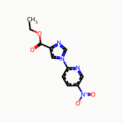 CCOC(=O)c1cn(-c2ccc([N+](=O)[O-])cn2)cn1